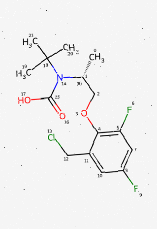 C[C@H](COc1c(F)cc(F)cc1CCl)N(C(=O)O)C(C)(C)C